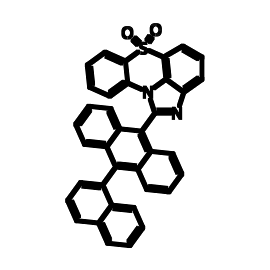 O=S1(=O)c2ccccc2-n2c(-c3c4ccccc4c(-c4cccc5ccccc45)c4ccccc34)nc3cccc1c32